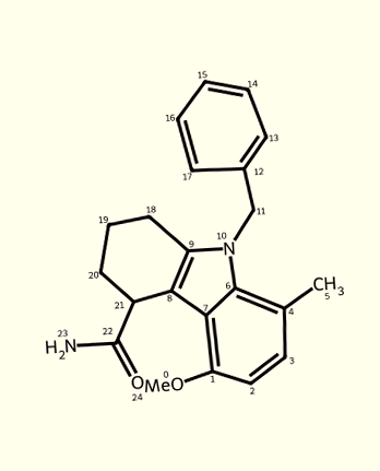 COc1ccc(C)c2c1c1c(n2Cc2ccccc2)CCCC1C(N)=O